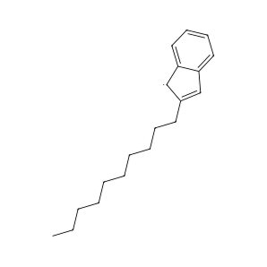 CCCCCCCCCCC1=Cc2ccccc2[CH]1